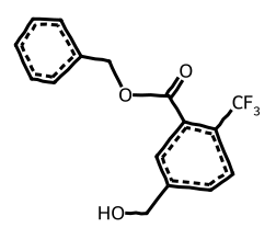 O=C(OCc1ccccc1)c1cc(CO)ccc1C(F)(F)F